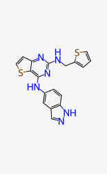 c1csc(CNc2nc(Nc3ccc4[nH]ncc4c3)c3sccc3n2)c1